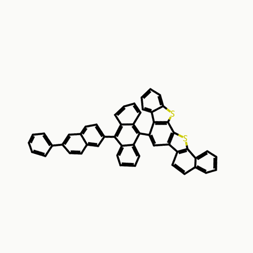 c1ccc(-c2ccc3cc(-c4c5ccccc5c(-c5cc6c7ccc8ccccc8c7sc6c6sc7ccccc7c56)c5ccccc45)ccc3c2)cc1